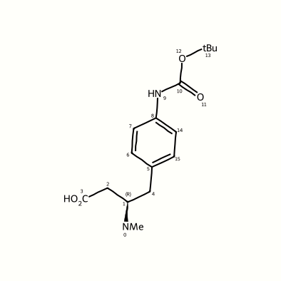 CN[C@@H](CC(=O)O)Cc1ccc(NC(=O)OC(C)(C)C)cc1